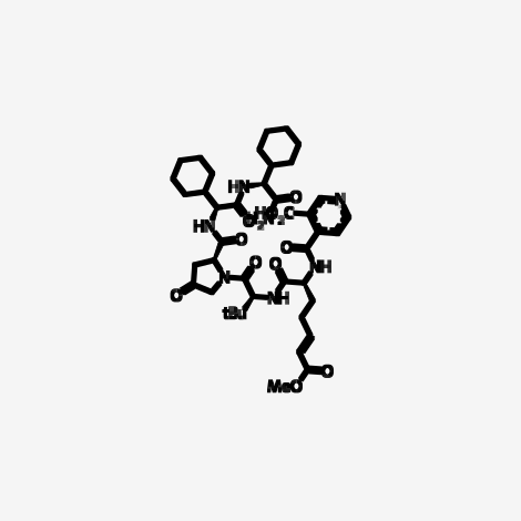 COC(=O)/C=C/CC[C@H](NC(=O)c1ccncc1C(=O)O)C(=O)N[C@H](C(=O)N1CC(=O)C[C@H]1C(=O)N[C@H](C(=O)N[C@H](C(N)=O)C1CCCCC1)C1CCCCC1)C(C)(C)C